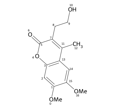 COc1cc2oc(=O)c(CCO)c(C)c2cc1OC